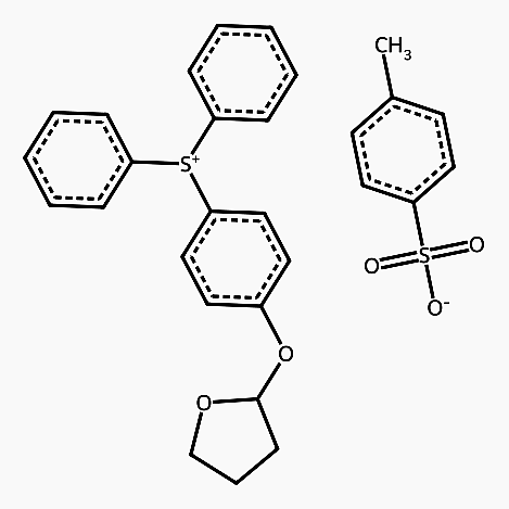 Cc1ccc(S(=O)(=O)[O-])cc1.c1ccc([S+](c2ccccc2)c2ccc(OC3CCCO3)cc2)cc1